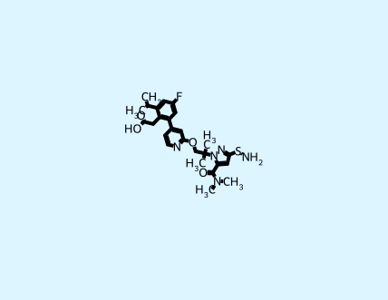 CC(C)c1cc(F)cc(-c2ccnc(OCC(C)(C)n3nc(SN)cc3C(=O)N(C)C)c2)c1CC(=O)O